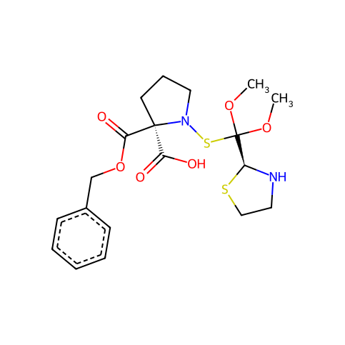 COC(OC)(SN1CCC[C@]1(C(=O)O)C(=O)OCc1ccccc1)[C@H]1NCCS1